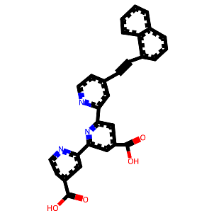 O=C(O)c1ccnc(-c2cc(C(=O)O)cc(-c3cc(C#Cc4cccc5ccccc45)ccn3)n2)c1